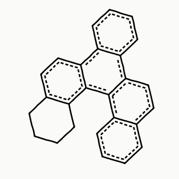 c1ccc2c(c1)ccc1c3ccccc3c3ccc4c(c3c21)CCCC4